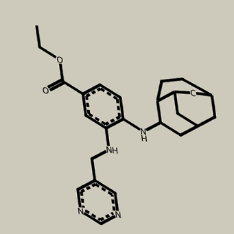 CCOC(=O)c1ccc(NC2CC3CC4CCC2C(C4)C3)c(NCc2cncnc2)c1